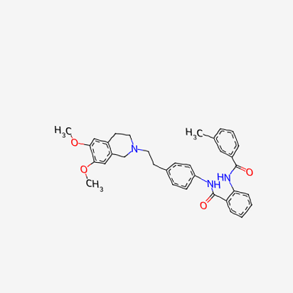 COc1cc2c(cc1OC)CN(CCc1ccc(NC(=O)c3ccccc3NC(=O)c3cccc(C)c3)cc1)CC2